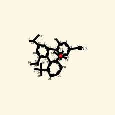 Cc1cc(C#N)cc(C)c1-c1cc(C(C)C)[c]c(C(C)C)c1-c1c(C(C)(C)C)cccc1C(C)(C)C